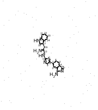 Nc1noc2ccc(-c3cnc(NC[C@H](N)Cc4c[nH]c5ccccc45)s3)cc12